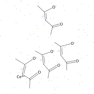 CC(=O)/C=C(/C)[O-].CC(=O)/C=C(/C)[O-].CC(=O)/C=C(/C)[O-].CC(=O)/C=C(/C)[O-].[Ce+4]